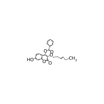 CC/C=C/CCOc1c(OC(=O)c2ccccc2)c2ccc(O)cc2oc1=O